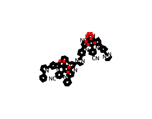 N#Cc1cccc(-c2c(-n3c4ccccc4c4ccc(-c5cccc(-c6ccccc6)n5)cc43)cc(C#N)cc2-n2c3ccccc3c3ccc(-c4cc(-c5ccnc(-c6ccc7c8ccc(-c9ncccn9)cc8n(-c8cc(C#N)cc(-n9c%10cc(-c%11ncccn%11)ccc%10c%10ccc(-c%11ncccn%11)cc%109)c8-c8cccc(C#N)c8)c7c6)n5)cc(-c5ccccc5)n4)cc32)c1